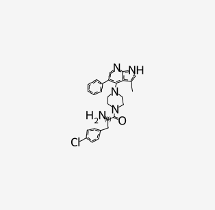 Cc1c[nH]c2ncc(-c3ccccc3)c(N3CCN(C(=O)[C@H](N)Cc4ccc(Cl)cc4)CC3)c12